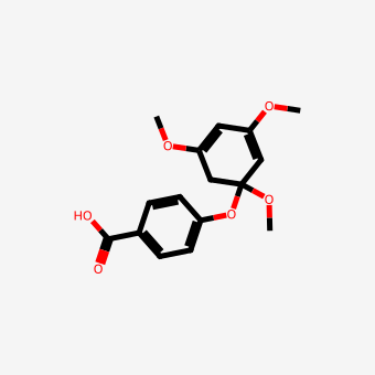 COC1=CC(OC)(Oc2ccc(C(=O)O)cc2)CC(OC)=C1